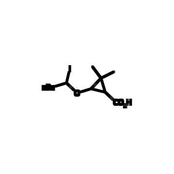 CCCCC(I)OC1C(C(=O)O)C1(C)C